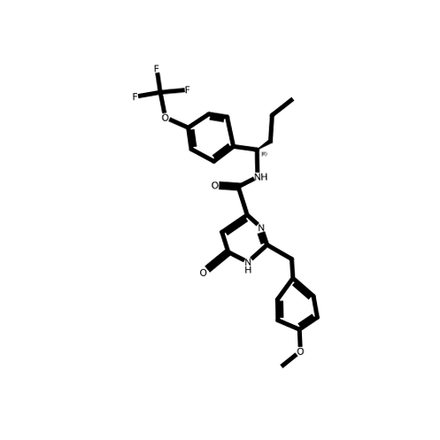 CCC[C@@H](NC(=O)c1cc(=O)[nH]c(Cc2ccc(OC)cc2)n1)c1ccc(OC(F)(F)F)cc1